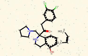 O=C(Cc1ccc(Cl)c(Cl)c1)C1(CN2CCCC2)NCCc2c(O)cccc21.O=C(O)/C=C\C(=O)O